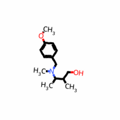 COc1ccc(CN(C)C(C)C(C)CO)cc1